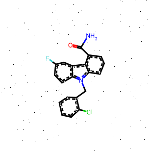 NC(=O)c1cccc2c1c1[c]c(F)ccc1n2Cc1ccccc1Cl